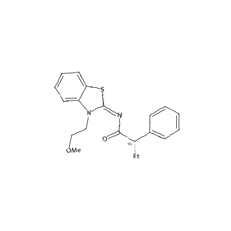 CC[C@H](C(=O)N=c1sc2ccccc2n1CCOC)c1ccccc1